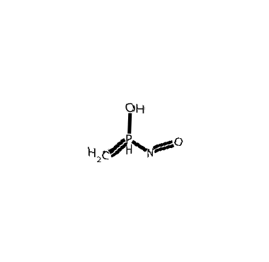 C=[PH](O)N=O